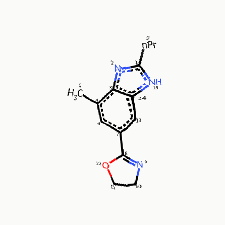 CCCc1nc2c(C)cc(C3=NCCO3)cc2[nH]1